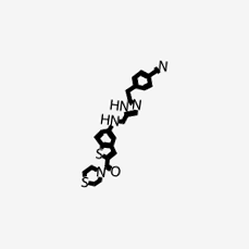 N#Cc1ccc(Cc2ncc(CNc3ccc4sc(C(=O)N5CCSCC5)cc4c3)[nH]2)cc1